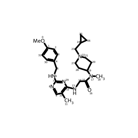 COc1ccc(CNc2ncc(C)c(NCC(=O)N(C)C3CCN(CC4CC4)CC3)n2)cc1